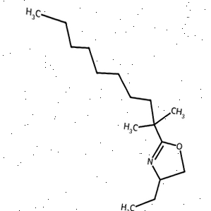 CCCCCCCCC(C)(C)C1=NC(CC)CO1